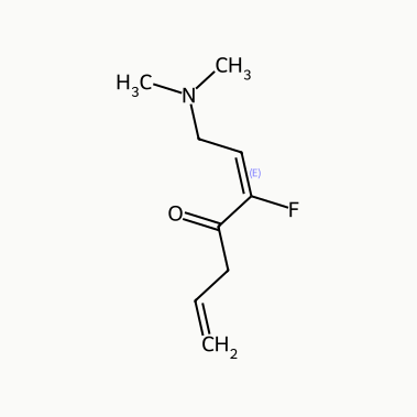 C=CCC(=O)/C(F)=C\CN(C)C